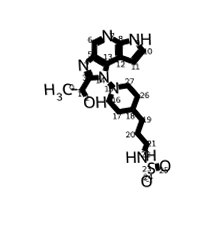 C[C@@H](O)c1nc2cnc3[nH]ccc3c2n1N1CCC(CCCN[SH](=O)=O)CC1